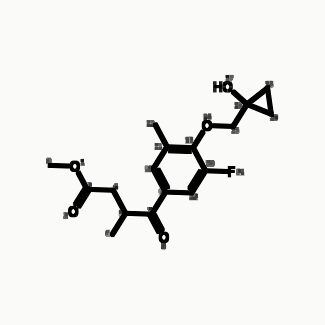 COC(=O)CC(C)C(=O)c1cc(C)c(OCC2(O)CC2)c(F)c1